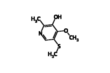 COc1c(SC)cnc(C)c1O